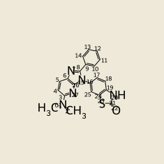 CN(C)c1ccc2nc(-c3ccccc3)n(-c3ccc4[nH]c(=O)sc4c3)c2n1